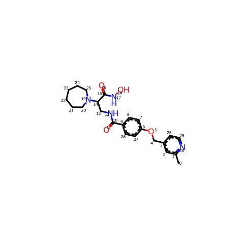 Cc1cc(COc2ccc(C(=O)NCC(C(=O)NO)N3CCCCCC3)cc2)ccn1